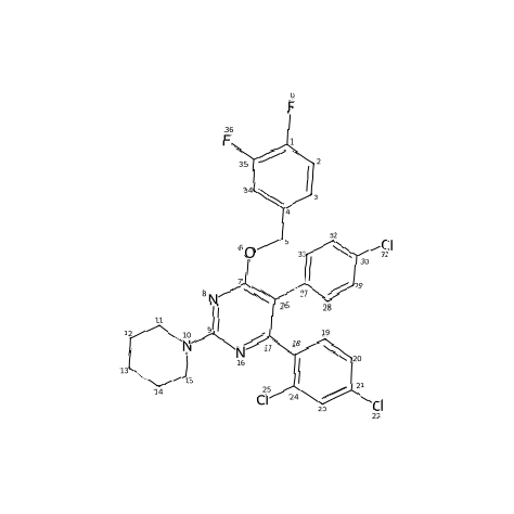 Fc1ccc(COc2nc(N3CCCCC3)nc(-c3ccc(Cl)cc3Cl)c2-c2ccc(Cl)cc2)cc1F